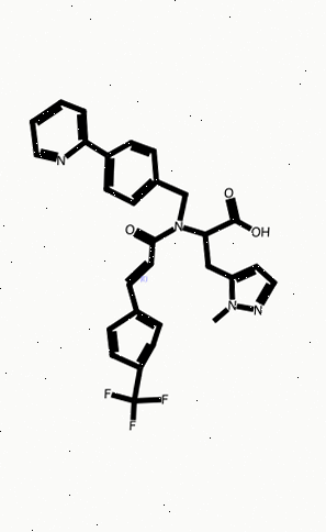 Cn1nccc1CC(C(=O)O)N(Cc1ccc(-c2ccccn2)cc1)C(=O)/C=C/c1ccc(C(F)(F)F)cc1